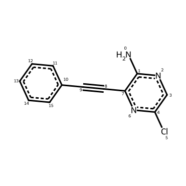 Nc1ncc(Cl)nc1C#Cc1ccccc1